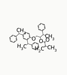 C=C(C)C(=O)OC(COc1ccc(C(C)c2ccccc2)cc1C(C)c1ccccc1)C(C)c1ccccc1